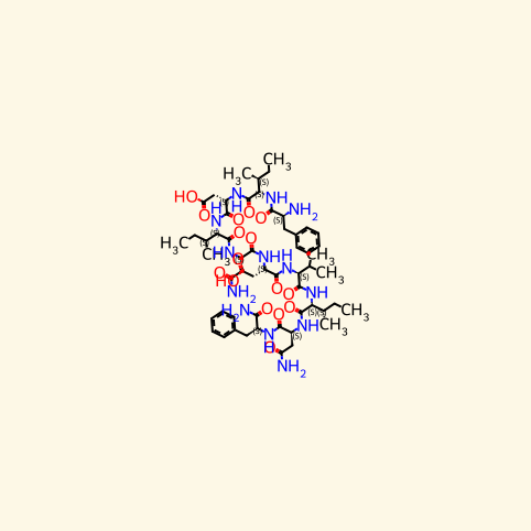 CC[C@H](C)[C@H](NC(=O)[C@H](CC(=O)O)NC(=O)[C@@H](NC(=O)[C@@H](N)Cc1ccccc1)[C@@H](C)CC)C(=O)N[C@@H](CC(N)=O)C(=O)N[C@@H](CC(=O)O)C(=O)N[C@H](C(=O)N[C@H](C(=O)N[C@@H](CC(N)=O)C(=O)N[C@@H](Cc1ccccc1)C(N)=O)[C@@H](C)CC)C(C)C